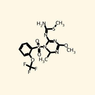 COC1=NC(C)N(S(=O)(=O)c2ccccc2OC(F)(F)F)C(N=C(N)SC)=N1